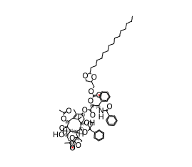 CCCCCCCCCCCCCCCC1OCC(COC(=O)O[C@@H](C(=O)O[C@H]2C[C@@]3(O)[C@@H](OC(=O)c4ccccc4)[C@H]4[C@H](C(=O)[C@H](OC(C)=O)C(=C2C)C3(C)C)[C@@H](O)C[C@H]2OC[C@@]42OC(C)=O)[C@@H](NC(=O)c2ccccc2)c2ccccc2)O1